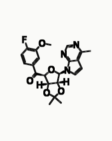 COc1cc(C(=O)[C@H]2O[C@@H](n3ccc4c(C)ncnc43)[C@@H]3OC(C)(C)O[C@@H]32)ccc1F